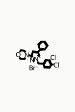 Clc1ccc(C[n+]2cc(-c3ccccc3)cc(N3CCOCC3)n2)cc1Cl.[Br-]